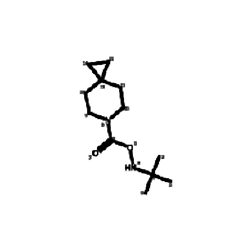 CC(C)(C)NOC(=O)N1CCC2(CC1)CC2